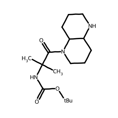 CC(C)(C)OC(=O)NC(C)(C)C(=O)N1CCCC2NCCCC21